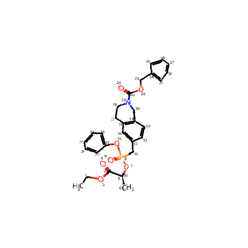 CCOC(=O)[C@H](C)OP(=O)(Cc1ccc2c(c1)CCN(C(=O)OCc1ccccc1)C2)Oc1ccccc1